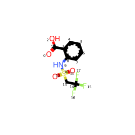 O=C(O)c1ccccc1NS(=O)(=O)CC(F)(F)F